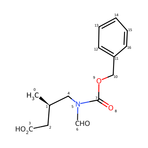 C[C@H](CC(=O)O)CN(C=O)C(=O)OCc1ccccc1